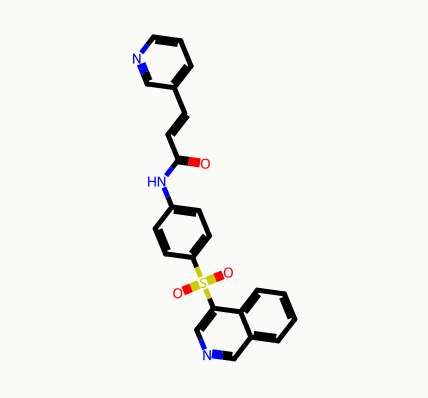 O=C(C=Cc1cccnc1)Nc1ccc(S(=O)(=O)c2cncc3ccccc23)cc1